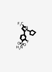 NS(=O)(=O)c1ccc(-c2cc(C(F)(F)F)nn2C2CCCC2)cc1F